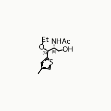 CCO[C@H](c1cc(C)cs1)[C@@H](CO)NC(C)=O